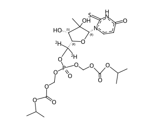 [2H]C([2H])(OP(=O)(OCOC(=O)OC(C)C)OCOC(=O)OC(C)C)[C@H]1O[C@@H](n2ccc(=O)[nH]c2=S)C(C)(O)[C@H]1O